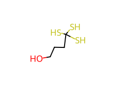 OCCCC(S)(S)S